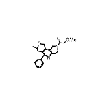 COCC(=O)N1CCc2nc(-c3ccccc3)c3c(c2C1)COC(C)C3